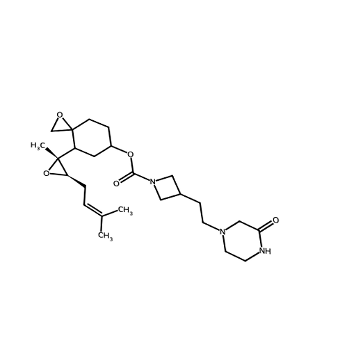 CC(C)=CC[C@H]1O[C@]1(C)C1CC(OC(=O)N2CC(CCN3CCNC(=O)C3)C2)CCC12CO2